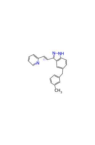 Cc1cccc(Cc2ccc3[nH]nc(/C=C/c4ccccn4)c3c2)c1